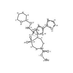 CC(C)(C)OC(=O)N1CC[C@](CC(=O)NOC2CCCCO2)(c2ccc(-c3ccco3)s2)S(=O)(=O)CC1